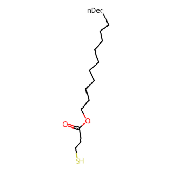 CCCCCCCCCCCCCCCCCCCCOC(=O)CCS